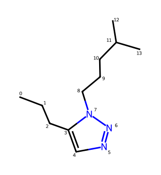 CCCc1cnnn1CCCC(C)C